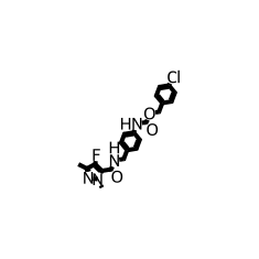 Cc1nn(C)c(C(=O)NCc2ccc(NC(=O)OCc3ccc(Cl)cc3)cc2)c1F